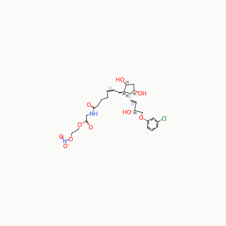 O=C(CCC/C=C\C[C@@H]1[C@@H](/C=C/[C@@H](O)COc2cccc(Cl)c2)[C@H](O)C[C@@H]1O)NCC(=O)OCCO[N+](=O)[O-]